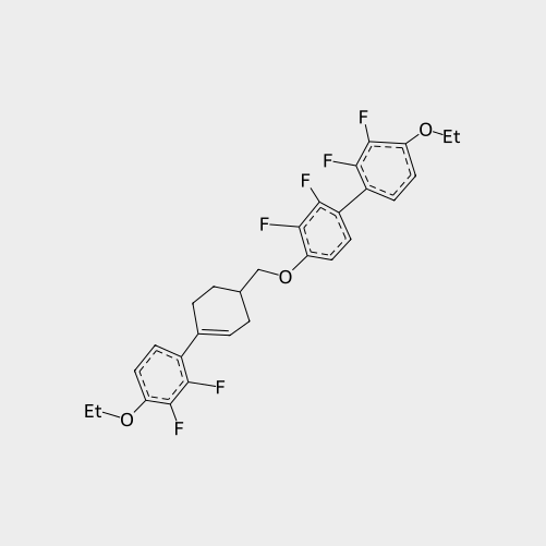 CCOc1ccc(C2=CCC(COc3ccc(-c4ccc(OCC)c(F)c4F)c(F)c3F)CC2)c(F)c1F